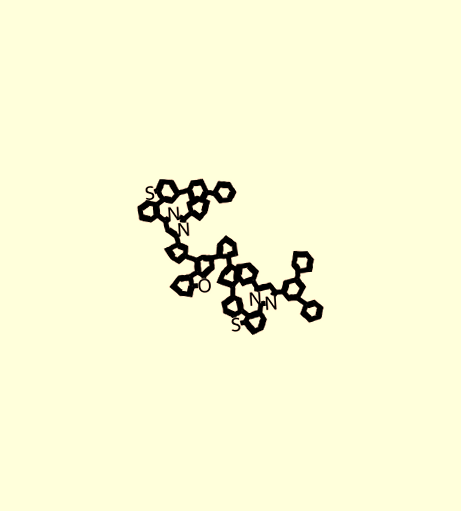 c1ccc(-c2ccc(-c3ccc4sc5cccc(-c6cc(-c7cccc(-c8cc(-c9ccccc9-c9ccc(-c%10ccc%11sc%12cccc(-c%13nc(-c%14ccccc%14)cc(-c%14cc(-c%15ccccc%15)cc(-c%15ccccc%15)c%14)n%13)c%12c%11c%10)cc9)cc9oc%10ccccc%10c89)c7)nc(-c7ccccc7)n6)c5c4c3)cc2)cc1